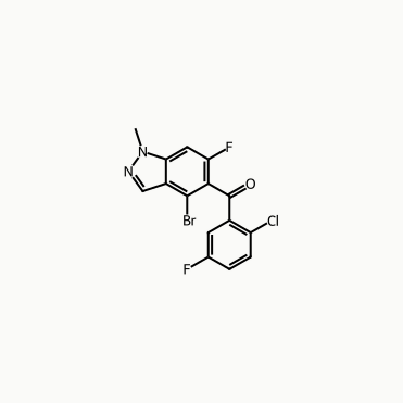 Cn1ncc2c(Br)c(C(=O)c3cc(F)ccc3Cl)c(F)cc21